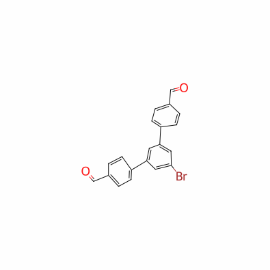 O=Cc1ccc(-c2cc(Br)cc(-c3ccc(C=O)cc3)c2)cc1